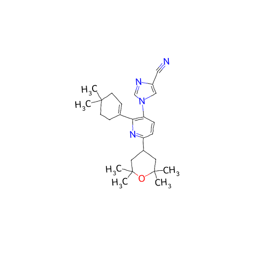 CC1(C)CC=C(c2nc(C3CC(C)(C)OC(C)(C)C3)ccc2-n2cnc(C#N)c2)CC1